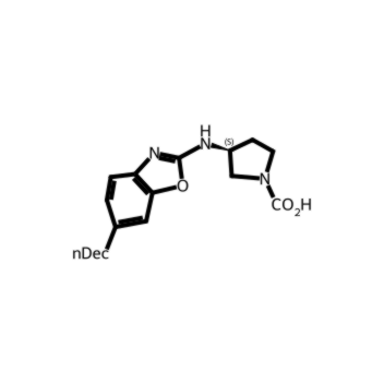 CCCCCCCCCCc1ccc2nc(N[C@H]3CCN(C(=O)O)C3)oc2c1